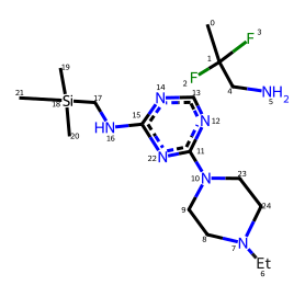 CC(F)(F)CN.CCN1CCN(c2ncnc(NC[Si](C)(C)C)n2)CC1